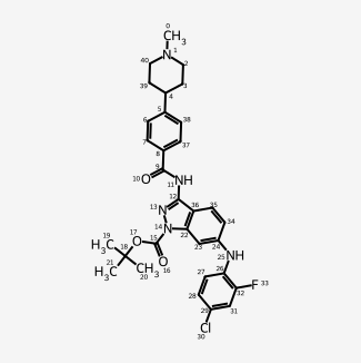 CN1CCC(c2ccc(C(=O)Nc3nn(C(=O)OC(C)(C)C)c4cc(Nc5ccc(Cl)cc5F)ccc34)cc2)CC1